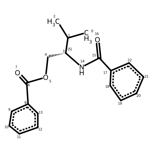 CC(C)[C@@H](COC(=O)c1ccccc1)NC(=O)c1ccccc1